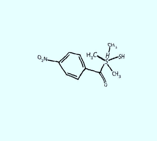 C[SH](C)(C)(S)C(=O)c1ccc([N+](=O)[O-])cc1